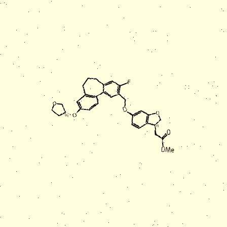 COC(=O)C[C@@H]1COc2cc(OCc3cc4c(cc3F)CCCc3cc(O[C@@H]5CCOC5)ccc3-4)ccc21